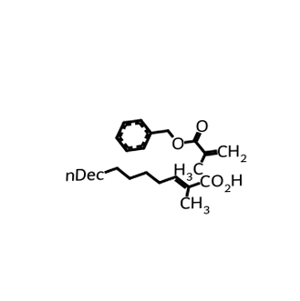 C=C(C)C(=O)OCc1ccccc1.CCCCCCCCCCCCCCC=C(C)C(=O)O